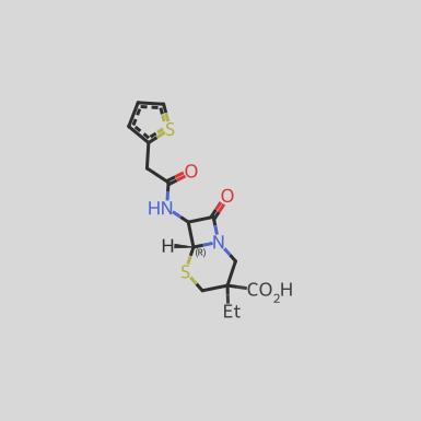 CCC1(C(=O)O)CS[C@@H]2C(NC(=O)Cc3cccs3)C(=O)N2C1